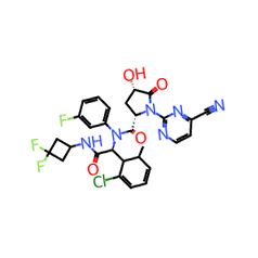 CC1C=CC=C(Cl)C1[C@@H](C(=O)NC1CC(F)(F)C1)N(C(=O)[C@@H]1C[C@H](O)C(=O)N1c1nccc(C#N)n1)c1cccc(F)c1